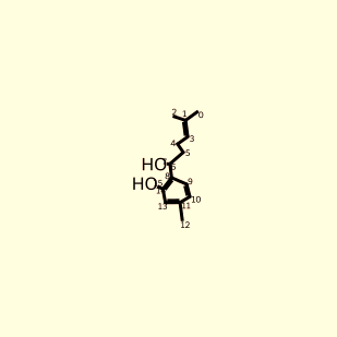 CC(C)=CCCC(O)c1ccc(C)cc1O